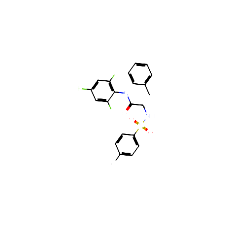 Cc1ccc(S(=O)(=O)N[C@@H](Cc2ccccc2)C(=O)Nc2c(F)cc(F)cc2F)cc1